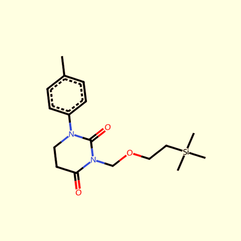 Cc1ccc(N2CCC(=O)N(COCC[Si](C)(C)C)C2=O)cc1